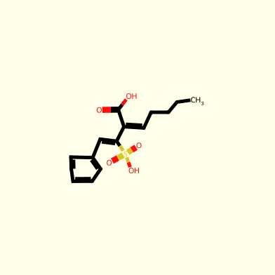 CCCCC=C(C(=O)O)C(=Cc1ccccc1)S(=O)(=O)O